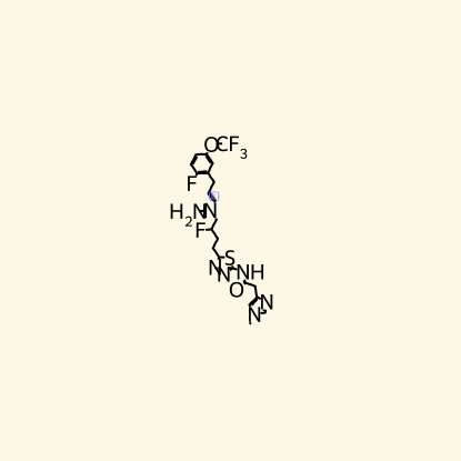 Cn1cnc(CC(=O)Nc2nnc(CCC(F)CN(N)/C=C/Cc3cc(OC(F)(F)F)ccc3F)s2)c1